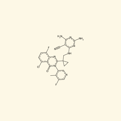 Cc1c(F)cncc1-n1c(C2(CNc3nc(N)nc(N)c3C#N)CC2)nc2c(F)ccc(Cl)c2c1=O